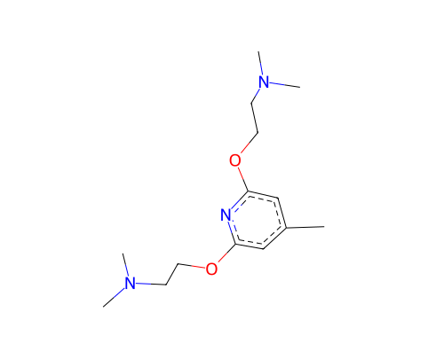 Cc1cc(OCCN(C)C)nc(OCCN(C)C)c1